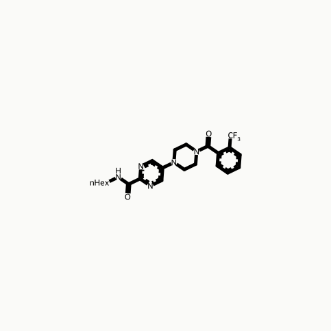 CCCCCCNC(=O)c1ncc(N2CCN(C(=O)c3ccccc3C(F)(F)F)CC2)cn1